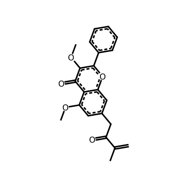 C=C(C)C(=O)Cc1cc(OC)c2c(=O)c(OC)c(-c3ccccc3)oc2c1